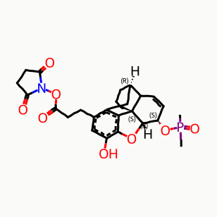 CP(C)(=O)O[C@H]1C=CC2[C@@H]3CCC[C@@]24c2c(c(CCC(=O)ON5C(=O)CCC5=O)cc(O)c2O[C@@H]14)C3